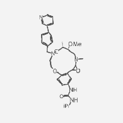 CO[C@H]1CN(C)C2OC2c2cc(NC(=O)NC(C)C)ccc2OCCN(Cc2ccc(-c3cccnc3)cc2)C[C@@H]1C